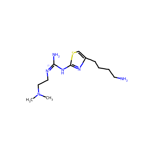 CN(C)CC/N=C(/N)Nc1nc(CCCCN)cs1